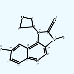 Cn1c(=O)n(C2COC2)c2c3cc(Br)ccc3ncc21